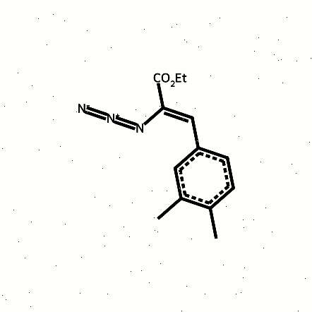 CCOC(=O)/C(=C/c1ccc(C)c(C)c1)N=[N+]=[N-]